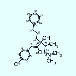 C/C(=C\c1ccc(Cl)cc1)C(O)(CCCc1ccccc1)C(C)CN(C)C